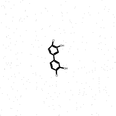 Oc1cc(-c2ccc(Cl)c(O)c2)ccc1Cl